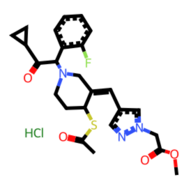 COC(=O)Cn1cc(C=C2CN(C(C(=O)C3CC3)c3ccccc3F)CCC2SC(C)=O)cn1.Cl